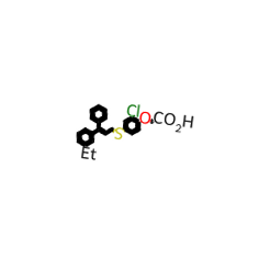 CCc1cccc(C(=CCSc2ccc(OCC(=O)O)c(Cl)c2)c2ccccc2)c1